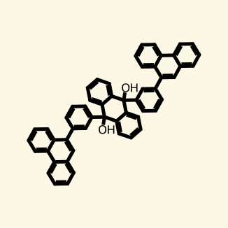 OC1(c2cccc(-c3cc4ccccc4c4ccccc34)c2)c2ccccc2C(O)(c2cccc(-c3cc4ccccc4c4ccccc34)c2)c2ccccc21